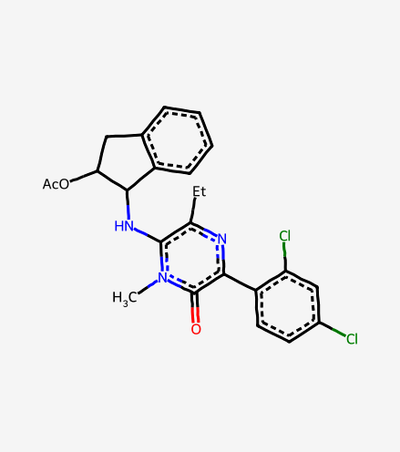 CCc1nc(-c2ccc(Cl)cc2Cl)c(=O)n(C)c1NC1c2ccccc2CC1OC(C)=O